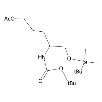 CC(=O)OCCCC(CO[Si](C)(C)C(C)(C)C)NC(=O)OC(C)(C)C